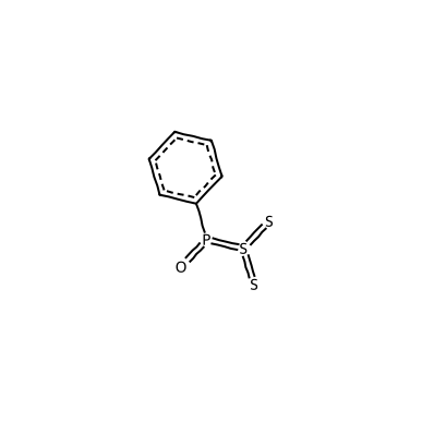 O=P(c1ccccc1)=S(=S)=S